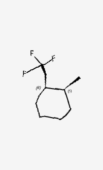 C[C@H]1CCCC[C@H]1C(F)(F)F